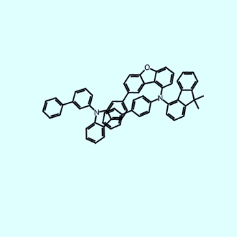 CC1(C)c2ccccc2-c2c(N(c3ccc(-c4ccccc4)cc3)c3cccc4oc5ccc(-c6ccc7c8ccccc8n(-c8cccc(-c9ccccc9)c8)c7c6)cc5c34)cccc21